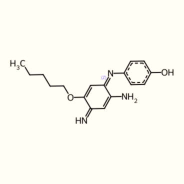 CCCCCOC1=C/C(=N/c2ccc(O)cc2)C(N)=CC1=N